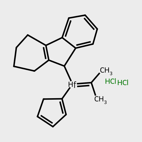 C[C](C)=[Hf]([C]1=CC=CC1)[CH]1C2=C(CCCC2)c2ccccc21.Cl.Cl